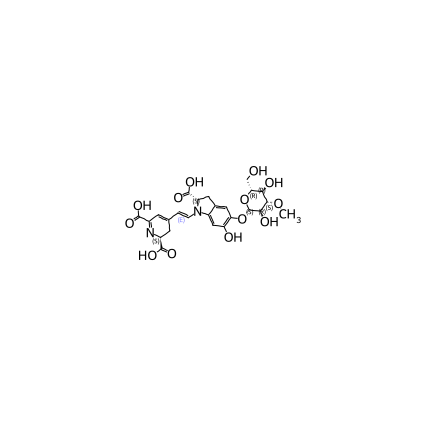 CO[C@@H]1[C@@H](O)[C@H](Oc2cc3c(cc2O)N(/C=C/C2=CC(C(=O)O)=N[C@H](C(=O)O)C2)[C@H](C(=O)O)C3)O[C@H](CO)[C@H]1O